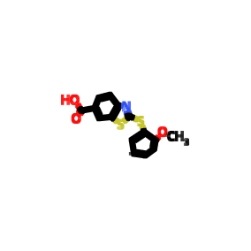 COc1cc[c]cc1Sc1nc2ccc(C(=O)O)cc2s1